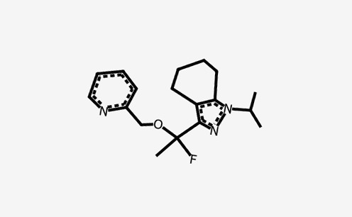 CC(C)n1nc(C(C)(F)OCc2ccccn2)c2c1CCCC2